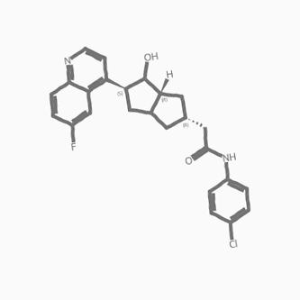 O=C(C[C@@H]1CC2C[C@@H](c3ccnc4ccc(F)cc34)C(O)[C@@H]2C1)Nc1ccc(Cl)cc1